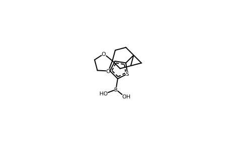 OB(O)c1ccc(C23CCC4(CC2C3)OCCO4)s1